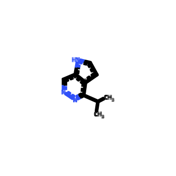 CC(C)c1nncc2[nH]ccc12